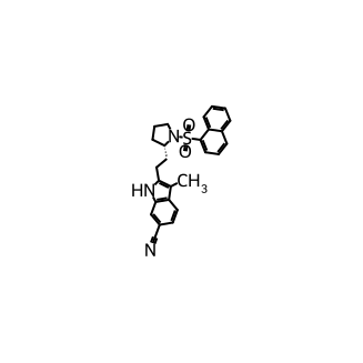 Cc1c(CC[C@@H]2CCCN2S(=O)(=O)c2cccc3ccccc23)[nH]c2cc(C#N)ccc12